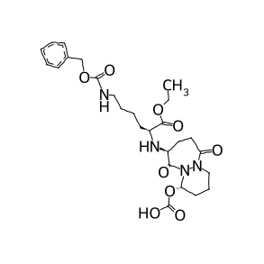 CCOC(=O)[C@H](CCCCNC(=O)OCc1ccccc1)N[C@H]1CCC(=O)N2CCC[C@H](OC(=O)O)N2C1=O